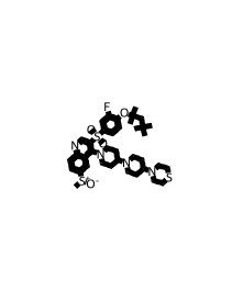 C[S+]([O-])c1ccc2ncc(S(=O)(=O)c3ccc(OC(C)(C)CC(C)(C)C)c(F)c3)c(N3CCC(N4CCC(N5CCSCC5)CC4)CC3)c2c1